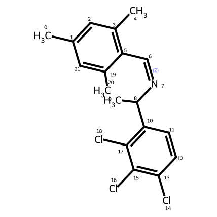 Cc1cc(C)c(/C=N\C(C)c2ccc(Cl)c(Cl)c2Cl)c(C)c1